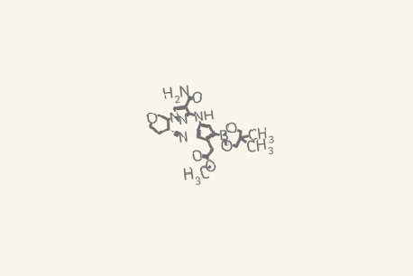 COC(=O)Cc1ccc(Nc2nn([C@@H]3COCC[C@H]3C#N)cc2C(N)=O)cc1B1OCC(C)(C)CO1